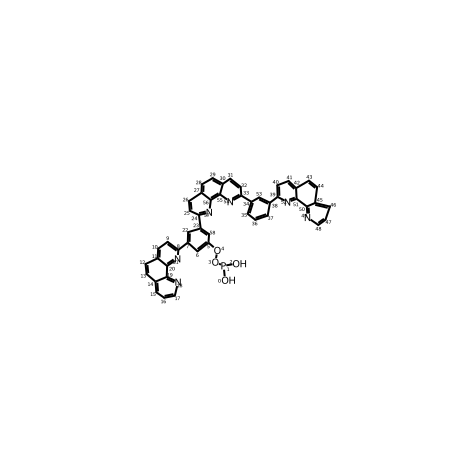 OP(O)OOc1cc(-c2ccc3ccc4cccnc4c3n2)cc(-c2ccc3ccc4ccc(-c5cccc(-c6ccc7ccc8cccnc8c7n6)c5)nc4c3n2)c1